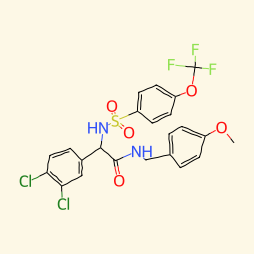 COc1ccc(CNC(=O)C(NS(=O)(=O)c2ccc(OC(F)(F)F)cc2)c2ccc(Cl)c(Cl)c2)cc1